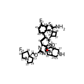 Nc1nc2c(C3=Cc4nc(OC[C@@]56CCCN5C[C@H](F)C6)nc(N5C6CNCC5COC6)c4[S+]([O-])N3C3CCC3)ccc(F)c2s1